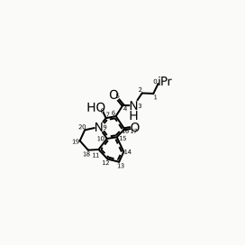 CC(C)CCNC(=O)c1c(O)n2c3c(cccc3c1=O)CCC2